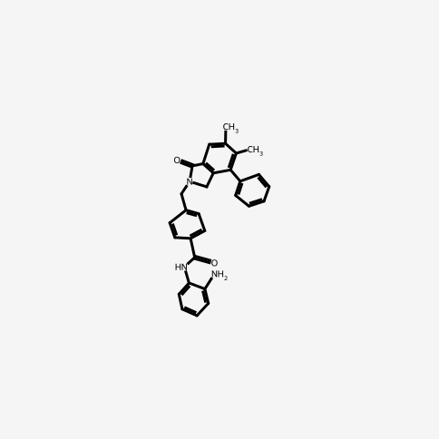 Cc1cc2c(c(-c3ccccc3)c1C)CN(Cc1ccc(C(=O)Nc3ccccc3N)cc1)C2=O